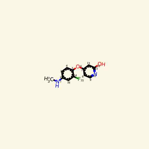 CNc1ccc(Oc2ccnc(O)c2)c(F)c1